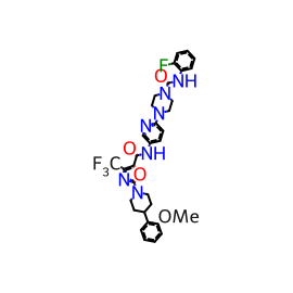 COc1ccccc1C1CCN(c2nc(C(F)(F)F)c(C(=O)Nc3ccc(N4CCN(C(=O)Nc5ccccc5F)CC4)nc3)o2)CC1